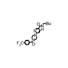 CCC(C)CNC(=O)c1ccc(N2CCN(C(=O)c3ccc(C(F)(F)F)cc3)CC2)nc1